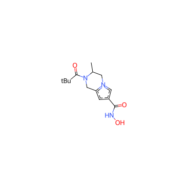 CC1Cn2cc(C(=O)NO)cc2CN1C(=O)C(C)(C)C